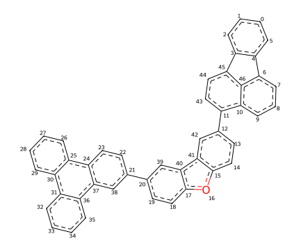 c1ccc2c(c1)-c1cccc3c(-c4ccc5oc6ccc(-c7ccc8c9ccccc9c9ccccc9c8c7)cc6c5c4)ccc-2c13